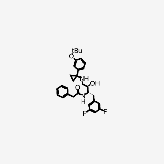 CC(C)(C)Oc1cccc(C2(NC[C@@H](O)[C@H](Cc3cc(F)cc(F)c3)NC(=O)Cc3ccccc3)CC2)c1